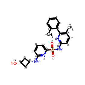 Cc1ccccc1-c1nc(NS(=O)(=O)c2cccc(N[C@H]3C[C@@H](O)C3)n2)ccc1C(F)(F)F